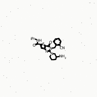 CC(C)NC(=O)c1cc2nc(N3CCCC(N)C3)n(Cc3ccccc3C#N)c(=O)c2s1